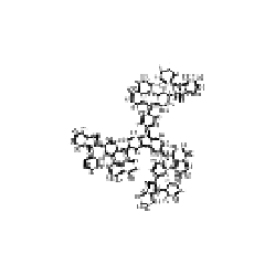 c1ccc(-n2c(-c3ccc(N(c4ccc(-n5c6ccc(N(c7ccc(-c8nc9ccccc9n8-c8ccccc8)cc7)c7cccc8ccccc78)cc6c6cc(N(c7ccc(-c8nc9ccccc9n8-c8ccccc8)cc7)c7cccc8ccccc78)ccc65)cc4)c4cccc5ccccc45)cc3)nc3ccccc32)cc1